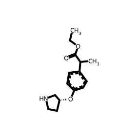 CCOC(=O)C(C)c1ccc(O[C@@H]2CCNC2)cc1